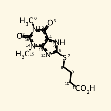 Cn1c(=O)c2[nH]c(SCCCC(=O)O)nc2n(C)c1=O